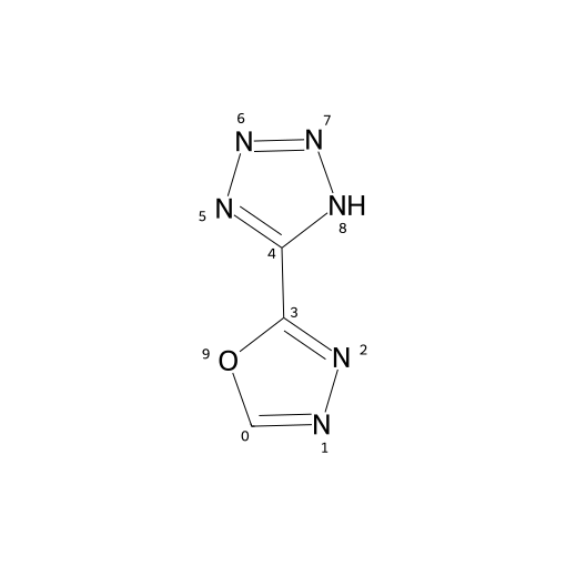 c1nnc(-c2nnn[nH]2)o1